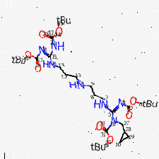 CC(C)(C)OC(=O)/N=C(/NCCCNCCCN/C(=N\C(=O)OC(C)(C)C)NC(=O)OC(C)(C)C)N(CC1CC1)C(=O)OC(C)(C)C